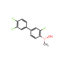 CB(O)c1ccc(-c2ccc(F)c(F)c2)cc1F